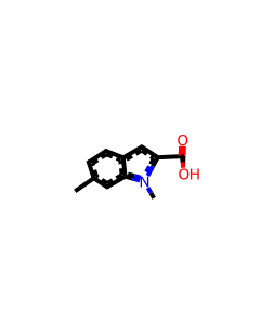 Cc1ccc2cc(C(=O)O)n(C)c2c1